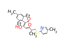 CCc1cc(C)cc(CC)c1-c1c(O)cc(C(C)CSc2ccc(C)cn2)oc1=O